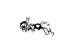 Cc1cc2nc(NC3=NCCN3)[nH]c2cc1C